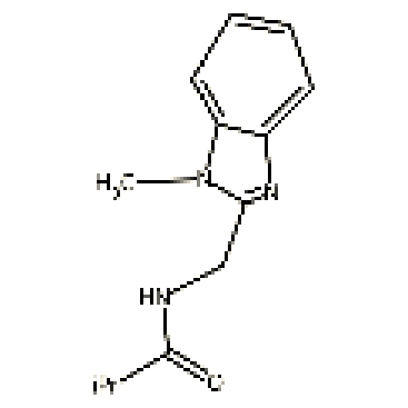 CC(C)C(=O)NCc1nc2ccccc2n1C